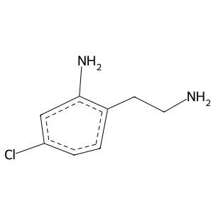 NCCc1ccc(Cl)cc1N